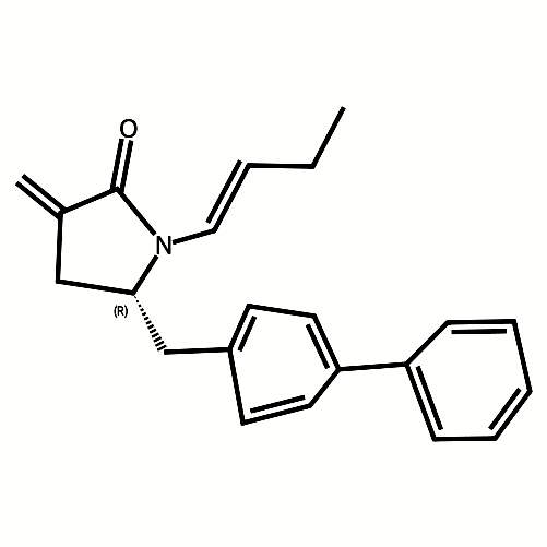 C=C1C[C@@H](Cc2ccc(-c3ccccc3)cc2)N(C=CCC)C1=O